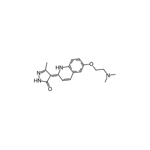 CC1=NNC(=O)C1=C1C=Cc2cc(OCCN(C)C)ccc2N1